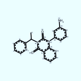 CC(c1ccccn1)n1c(=O)c2cccnc2n(-c2cccc(N)c2)c1=O